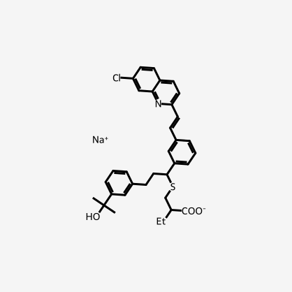 CCC(CSC(CCc1cccc(C(C)(C)O)c1)c1cccc(C=Cc2ccc3ccc(Cl)cc3n2)c1)C(=O)[O-].[Na+]